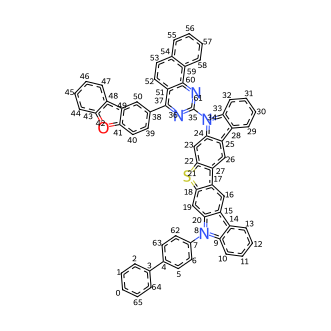 c1ccc(-c2ccc(-n3c4ccccc4c4cc5c(cc43)sc3cc4c(cc35)c3ccccc3n4-c3nc(-c4ccc5oc6ccccc6c5c4)c4ccc5ccccc5c4n3)cc2)cc1